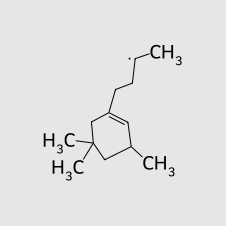 C[CH]CCC1=CC(C)CC(C)(C)C1